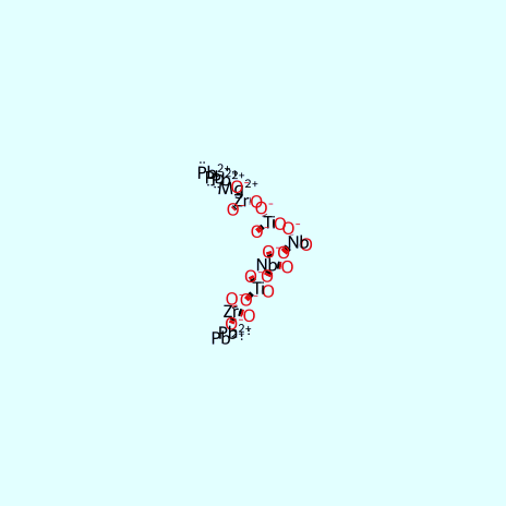 [Mg+2].[O]=[Nb](=[O])[O-].[O]=[Nb](=[O])[O-].[O]=[Ti]([O-])[O-].[O]=[Ti]([O-])[O-].[O]=[Zr]([O-])[O-].[O]=[Zr]([O-])[O-].[Pb+2].[Pb+2].[Pb+2].[Pb+2].[Pb+2]